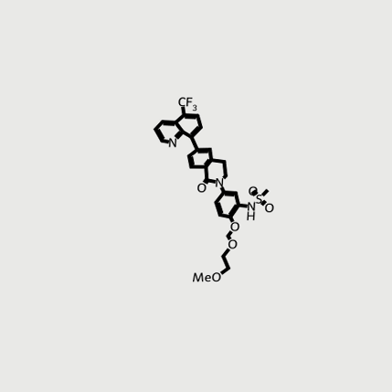 COCCOCOc1ccc(N2CCc3cc(-c4ccc(C(F)(F)F)c5cccnc45)ccc3C2=O)cc1NS(C)(=O)=O